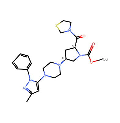 Cc1cc(N2CCN([C@H]3C[C@@H](C(=O)N4CCSC4)N(C(=O)OC(C)(C)C)C3)CC2)n(-c2ccccc2)n1